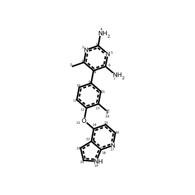 Cc1nc(N)nc(N)c1-c1ccc(Oc2ccnc3[nH]ccc23)c(F)c1